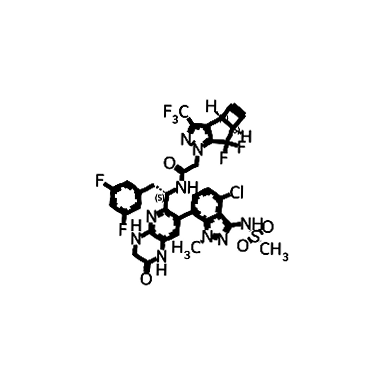 Cn1nc(NS(C)(=O)=O)c2c(Cl)ccc(-c3cc4c(nc3[C@H](Cc3cc(F)cc(F)c3)NC(=O)Cn3nc(C(F)(F)F)c5c3C(F)(F)[C@@H]3C#C[C@H]53)NCC(=O)N4)c21